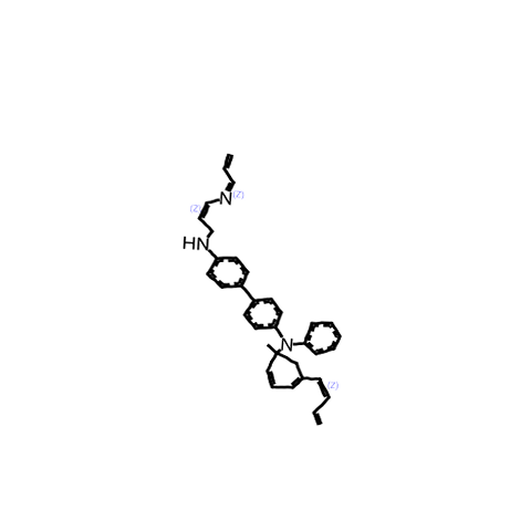 C=C/C=C\C1=CC=CC(C)(N(c2ccccc2)c2ccc(-c3ccc(NC/C=C\N=C/C=C)cc3)cc2)C1